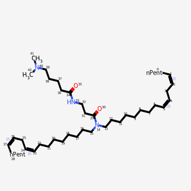 CCCCC/C=C\C/C=C\CCCCCCCCN(CCCCCCCC/C=C\C/C=C\CCCCC)C(=O)CCNC(=O)CCCCN(C)C